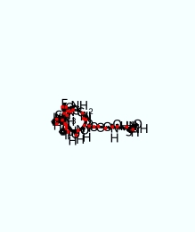 CC(C)C[C@H]1NC(=O)[C@@H](NC(=O)COCCOCCOCCNC(=O)CCCCC2SC[C@H]3NC(=O)N[C@@H]23)Cc2cn(nn2)CCCC[C@@H](C(N)=O)NC(=O)[C@H](Cc2ccc(F)cc2)NC(=O)[C@H](Cc2cn(C)c3ccccc23)NC(=O)[C@@H](Cc2ccccc2)NC1=O